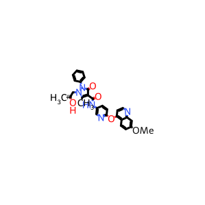 COc1ccc2c(Oc3ccc(NC(=O)c4c(C)n(C[C@@H](C)O)n(-c5ccccc5)c4=O)cn3)ccnc2c1